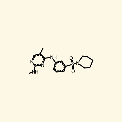 CNc1ncc(C)c(Nc2cccc(S(=O)(=O)N3CCCCC3)c2)n1